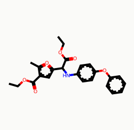 CCOC(=O)c1cc(C(Nc2ccc(Oc3ccccc3)cc2)C(=O)OCC)oc1C